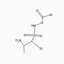 CCC(=O)ONS(=O)(=O)C(CC)C(C)N